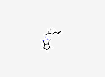 C=CCCC(CCC)CN1CC2CCCC2C1